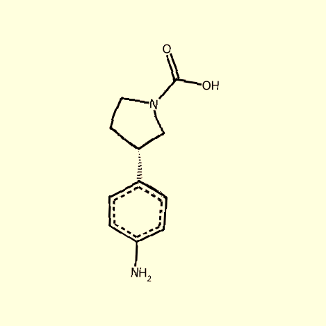 Nc1ccc([C@@H]2CCN(C(=O)O)C2)cc1